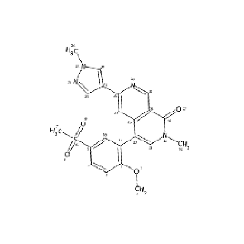 COc1ccc(S(C)(=O)=O)cc1-c1cn(C)c(=O)c2cnc(-c3cnn(C)c3)cc12